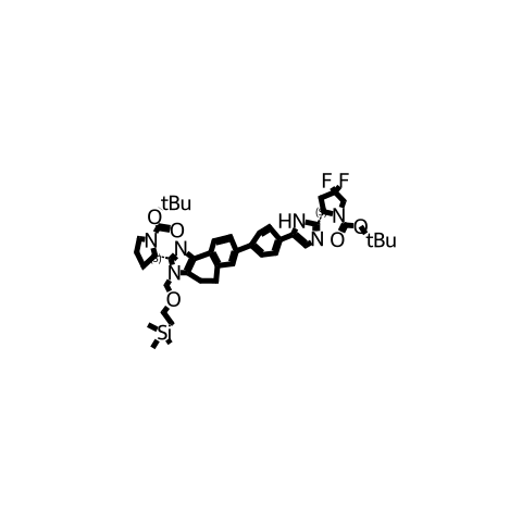 CC(C)(C)OC(=O)N1CC(F)(F)C[C@H]1c1ncc(-c2ccc(-c3ccc4c(c3)CCc3c-4nc([C@@H]4CCCN4C(=O)OC(C)(C)C)n3COCC[Si](C)(C)C)cc2)[nH]1